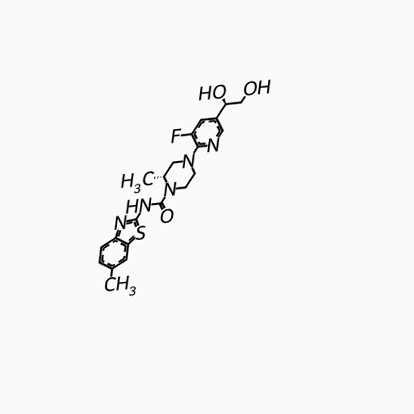 Cc1ccc2nc(NC(=O)N3CCN(c4ncc([C@@H](O)CO)cc4F)C[C@H]3C)sc2c1